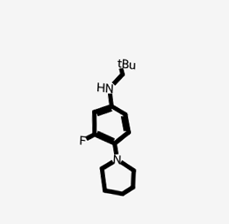 CC(C)(C)CNc1ccc(N2CCCCC2)c(F)c1